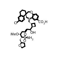 CO[C@H](C/C=C/[C@H](O)[C@@H]1CC[C@H]1CN1C[C@@]2(CCCc3cc(Cl)ccc32)COc2ccc(C(=O)O)cc21)[C@@H](C[C@H]1CCCO1)S(N)(=O)=O